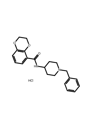 Cl.O=C(NC1CCN(Cc2ccccc2)CC1)c1cccc2c1OCCO2